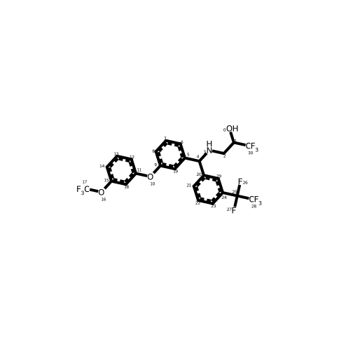 OC(CNC(c1cccc(Oc2cccc(OC(F)(F)F)c2)c1)c1cccc(C(F)(F)C(F)(F)F)c1)C(F)(F)F